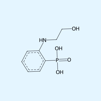 O=P(O)(O)c1ccccc1NCCO